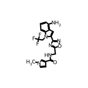 Cn1ccc(C(=O)NCc2nc(-c3cc4c(N)cccc4n3CC(F)(F)F)no2)c1